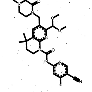 COC(OC)c1nc2c(cc1CN1CCN(C)CC1=O)C(C)(C)CCN2C(=O)Nc1cc(F)c(C#N)cn1